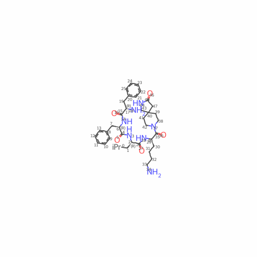 CC(C)C[C@@H](NC(=O)[C@@H](Cc1ccccc1)NC(=O)[C@H](N)Cc1ccccc1)C(=O)N[C@H](CCCCN)C(=O)N1CCC2(CC1)CNC(=O)C2